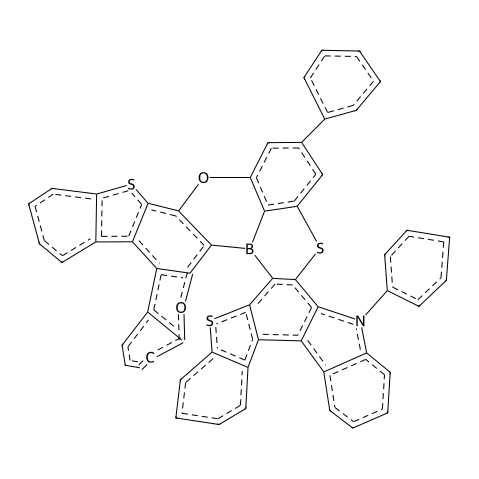 c1ccc(-c2cc3c4c(c2)Sc2c(c5sc6ccccc6c5c5c6ccccc6n(-c6ccccc6)c25)B4c2c(c4sc5ccccc5c4c4c2oc2ccccc24)O3)cc1